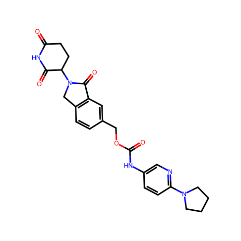 O=C1CCC(N2Cc3ccc(COC(=O)Nc4ccc(N5CCCC5)nc4)cc3C2=O)C(=O)N1